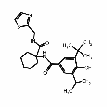 CC(C)c1cc(C(=O)NC2(C(=O)NCc3nccs3)CCCCC2)cc(C(C)(C)C)c1O